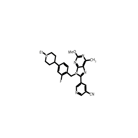 CCN1CCC(c2ccc(Cn3c(-c4cncc(C#N)c4)nc4c(C)nc(OC)nc43)c(F)c2)CC1